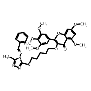 COc1cc(OC)c2c(=O)c(OCCCCCSc3nnc(C)n3N=Cc3ccccc3)c(-c3cc(OC)c(OC)c(OC)c3)oc2c1